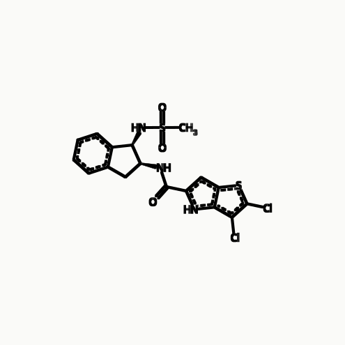 CS(=O)(=O)N[C@@H]1c2ccccc2C[C@@H]1NC(=O)c1cc2sc(Cl)c(Cl)c2[nH]1